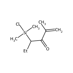 C=C(C)C(=O)C(CC)[Si](C)(C)Cl